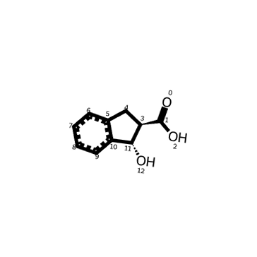 O=C(O)[C@@H]1Cc2ccccc2[C@H]1O